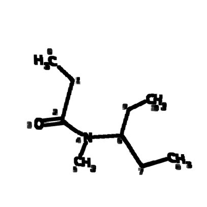 CCC(=O)N(C)C(CC)CC